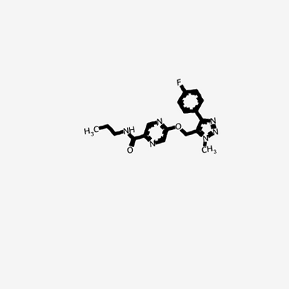 CCCNC(=O)c1cnc(OCc2c(-c3ccc(F)cc3)nnn2C)cn1